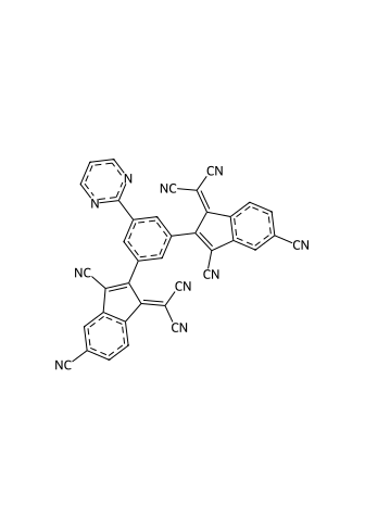 N#CC(C#N)=C1C(c2cc(C3=C(C#N)c4cc(C#N)ccc4C3=C(C#N)C#N)cc(-c3ncccn3)c2)=C(C#N)c2cc(C#N)ccc21